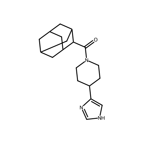 O=C(C1C2CC3CC(C2)CC1C3)N1CCC(c2c[nH]cn2)CC1